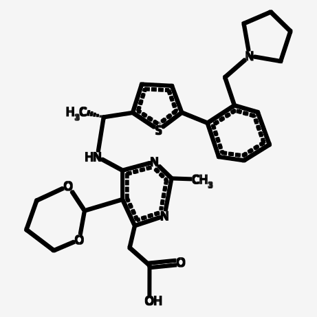 Cc1nc(CC(=O)O)c(C2OCCCO2)c(N[C@H](C)c2ccc(-c3ccccc3CN3CCCC3)s2)n1